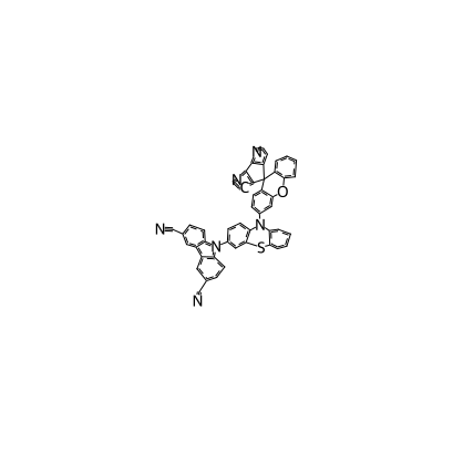 N#Cc1ccc2c(c1)c1cc(C#N)ccc1n2-c1ccc2c(c1)Sc1ccccc1N2c1ccc2c(c1)Oc1ccccc1C21c2cccnc2-c2ncccc21